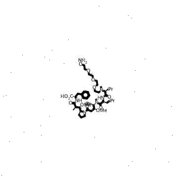 CC[C@H](C)[C@@H]([C@@H](CC(=O)N1CCC[C@H]1[C@H](OC)[C@@H](C)C(=O)N[C@@H](Cc1ccccc1)C(=O)O)OC)N(C)C(=O)[C@H](CC(C)C)NC(=O)[C@H](C(C)C)N(C)CCOCCOCCOCCON